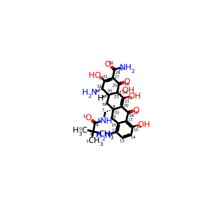 CC(C)(C)C(=O)NC[C@@]12Cc3c(N)ccc(O)c3C(=O)C1=C(O)[C@]1(O)C(=O)C(C(N)=O)=C(O)[C@@H](N)[C@@H]1C2